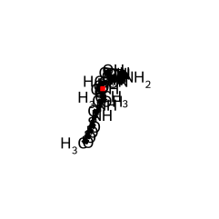 CC(=O)CC(=O)CC(=O)CC(=O)SCCNC(=O)CCNC(=O)C(O)C(C)(C)COP(=O)(O)OP(=O)(O)OC[C@H]1O[C@@H](n2cnc3c(N)ncnc32)[C@H](O)[C@@H]1OP(=O)(O)O